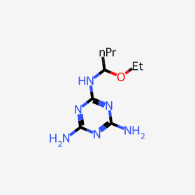 CCCC(Nc1nc(N)nc(N)n1)OCC